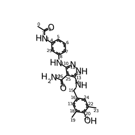 CC(=O)Nc1cccc(Nc2n[nH]c(NCc3cc(C)c(O)c(C)c3)c2C(N)=O)c1